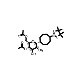 CC(=O)OC[C@H]1O[C@H](C2CCCC(B3OC(C)(C)C(C)(C)O3)CCC2)[C@@H](O)[C@@H](O)[C@@H]1OC(C)=O